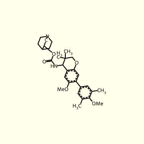 COc1cc2c(cc1-c1cc(C)c(OC)c(C)c1)OCC(C)(C)C2NC(=O)OC1CN2CCC1CC2